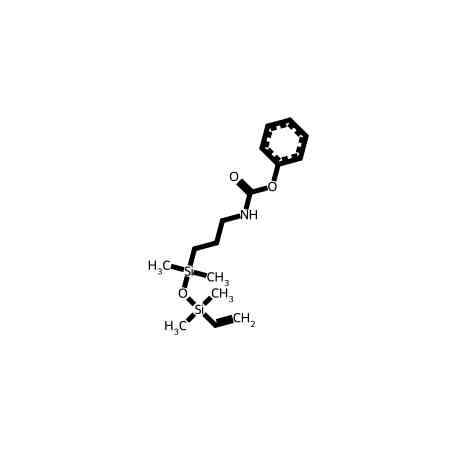 C=C[Si](C)(C)O[Si](C)(C)CCCNC(=O)Oc1ccccc1